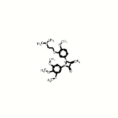 C=C1C(=O)N(c2cc(OC)c(OC)c(OC)c2)[C@H]1c1ccc(OC)c(OCCN(C)C)c1